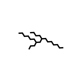 CCCCCCCC(CCCC)CC(CCC)CCCCCC